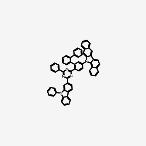 c1ccc(-c2nc(-c3ccc4c5ccccc5n(-c5ccccc5)c4c3)nc(-c3ccc(-n4c5cc6ccccc6cc5c5ccc6ccccc6c54)cc3-c3ccccc3-c3ccccc3)n2)cc1